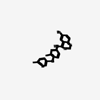 Cc1ccc(Oc2ccc(Nc3ncnc4ccc(Br)cc34)cc2C)cn1